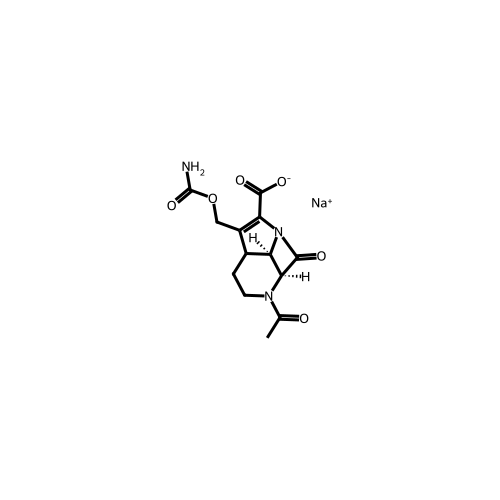 CC(=O)N1CCC2C(COC(N)=O)=C(C(=O)[O-])N3C(=O)[C@@H]1[C@@H]23.[Na+]